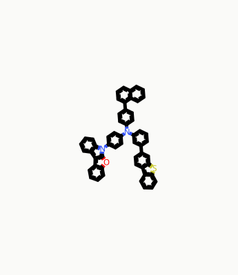 c1cc(-c2ccc3c(c2)sc2ccccc23)cc(N(c2ccc(-c3cccc4ccccc34)cc2)c2ccc(-n3c4ccccc4c4c5ccccc5oc43)cc2)c1